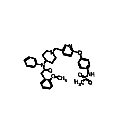 COc1ccccc1CC(=O)N(c1ccccc1)C1CCN(Cc2ccc(Oc3ccc(NS(C)(=O)=O)cc3)nc2)CC1